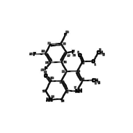 COC(=O)C1=C(C)NC2=C(C(=O)CNC2)C1c1c(F)c(F)cc(F)c1F